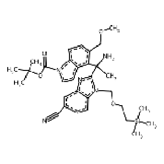 COCc1ccc2c(ccn2C(=O)OC(C)(C)C)c1C(C)(N)c1nc2cc(C#N)ccc2n1COCC[Si](C)(C)C